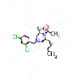 C=C/C=C\C1=CN(Cc2ccc(Cl)cc2Cl)CC(C)N1C(C)=O